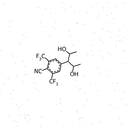 CC(O)C(c1cc(C(F)(F)F)c(C#N)c(C(F)(F)F)c1)C(C)O